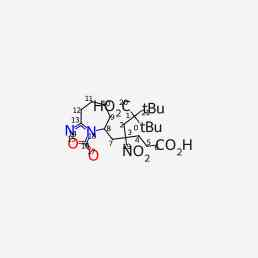 CC(C)(C)C(CC(CCC(=O)O)(CC1CCCCc2noc(=O)n21)[N+](=O)[O-])(C(=O)O)C(C)(C)C